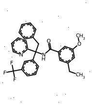 CCc1cc(OC)cc(C(=O)NC(Cc2ccccc2)(c2cccc(C(F)(F)F)c2)c2ccccn2)c1